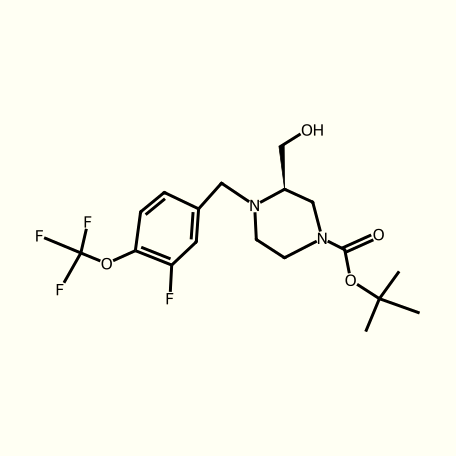 CC(C)(C)OC(=O)N1CCN(Cc2ccc(OC(F)(F)F)c(F)c2)[C@@H](CO)C1